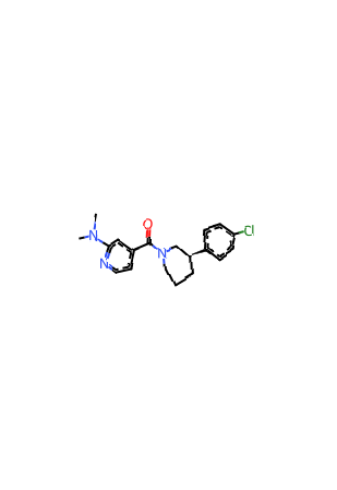 CN(C)c1cc(C(=O)N2CCC[C@H](c3ccc(Cl)cc3)C2)ccn1